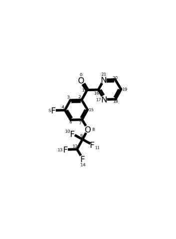 O=C(c1cc(F)cc(OC(F)(F)C(F)F)c1)c1ncccn1